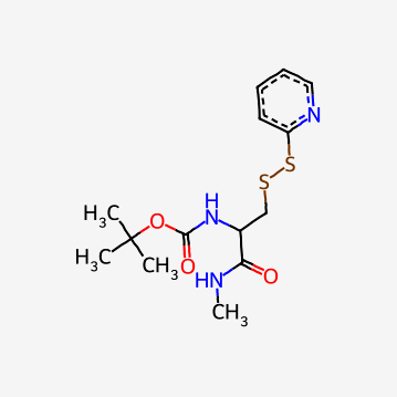 CNC(=O)C(CSSc1ccccn1)NC(=O)OC(C)(C)C